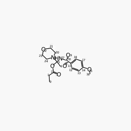 CCC(=O)OC(C)(NS(=O)(=O)c1ccc(OC)cc1)N1CCOCC1